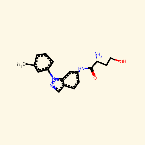 Cc1cccc(-n2ncc3ccc(NC(=O)[C@H](N)CCO)cc32)c1